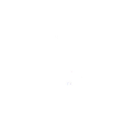 Bc1ccc(COC(=O)N/C=C\CC)cc1